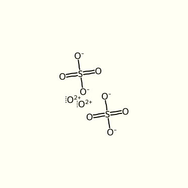 O=S(=O)([O-])[O-].O=S(=O)([O-])[O-].[O+2].[O+2]